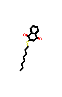 CCCCCCCCSC1=CC(=O)c2ccccc2C1=O